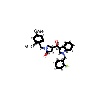 COc1ccc(CN2CC(C(=O)c3cn(Cc4ccccc4F)c4ccccc34)CC2=O)c(OC)c1